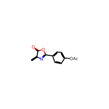 C=C1N=C(c2ccc(OC(C)=O)cc2)OC1=O